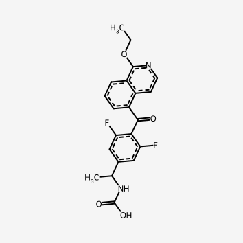 CCOc1nccc2c(C(=O)c3c(F)cc(C(C)NC(=O)O)cc3F)cccc12